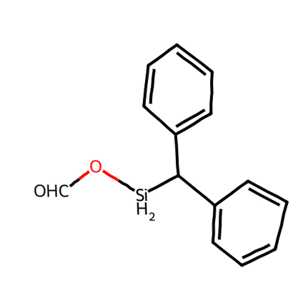 O=CO[SiH2]C(c1ccccc1)c1ccccc1